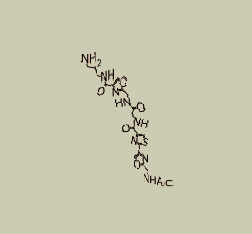 CC(=O)NCc1nc(-c2nc(C(=O)NCC(=O)NCc3nc(C(=O)NCCCN)co3)cs2)co1